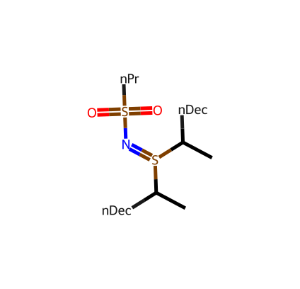 CCCCCCCCCCC(C)S(=NS(=O)(=O)CCC)C(C)CCCCCCCCCC